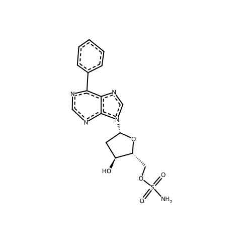 NS(=O)(=O)OC[C@H]1O[C@@H](n2cnc3c(-c4ccccc4)ncnc32)C[C@@H]1O